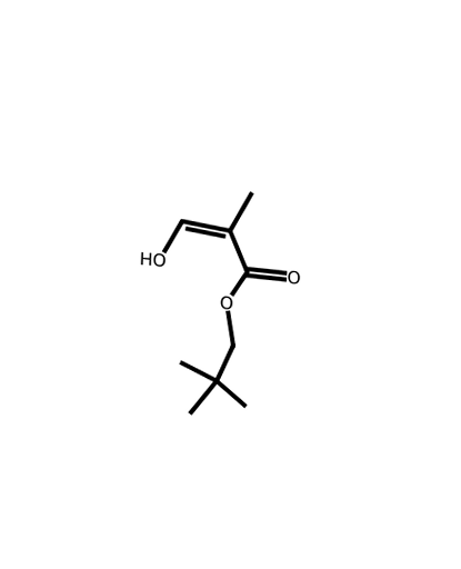 CC(=CO)C(=O)OCC(C)(C)C